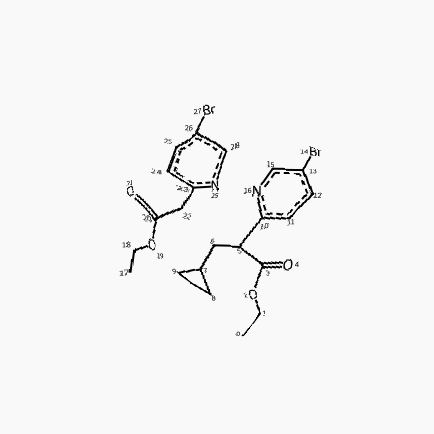 CCOC(=O)C(CC1CC1)c1ccc(Br)cn1.CCOC(=O)Cc1ccc(Br)cn1